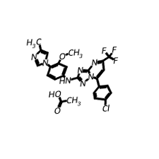 CC(=O)O.COc1cc(Nc2nc3nc(C(F)(F)F)cc(-c4ccc(Cl)cc4)n3n2)ccc1-n1cnc(C)c1